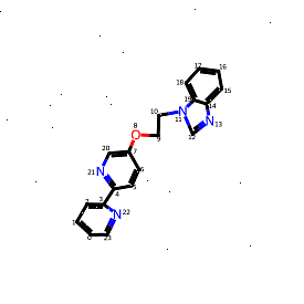 c1ccc(-c2ccc(OCCn3cnc4ccccc43)cn2)nc1